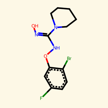 ON=C(NOc1cc(F)ccc1Br)N1CCCCC1